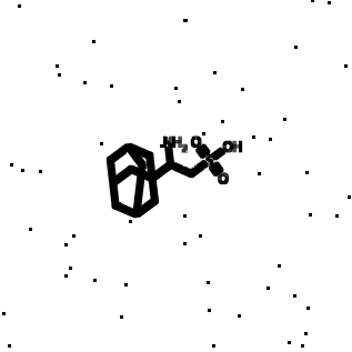 NC(CS(=O)(=O)O)C12CC3CC(CC(C3)C1)C2